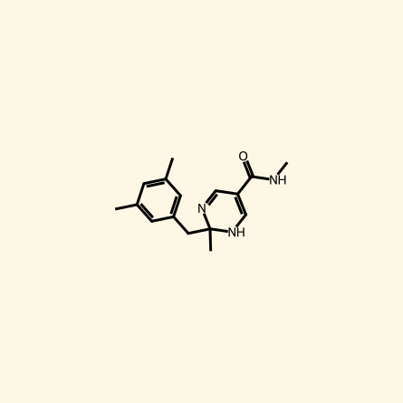 CNC(=O)C1=CNC(C)(Cc2cc(C)cc(C)c2)N=C1